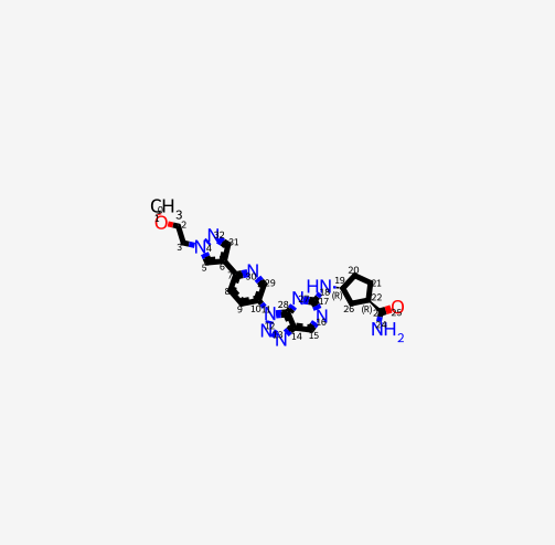 COCCn1cc(-c2ccc(-n3nnc4cnc(N[C@@H]5CC[C@@H](C(N)=O)C5)nc43)cn2)cn1